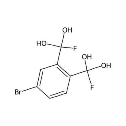 OC(O)(F)c1ccc(Br)cc1C(O)(O)F